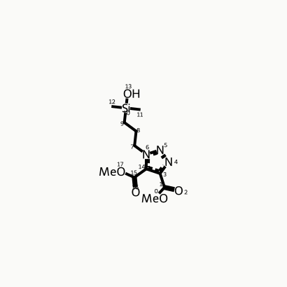 COC(=O)c1nnn(CCC[Si](C)(C)O)c1C(=O)OC